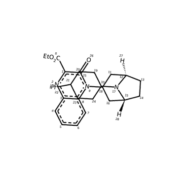 CCOC(=O)c1nc2ccccc2n(C2C[C@H]3CC[C@H](C2)N3C2CCC(C(C)C)CC2)c1=O